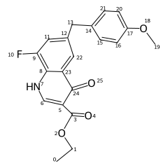 CCOC(=O)c1c[nH]c2c(F)cc(Cc3ccc(OC)cc3)cc2c1=O